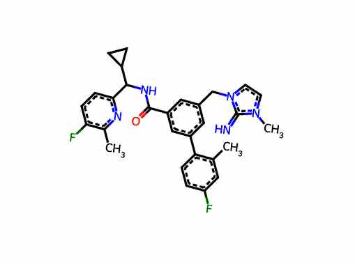 Cc1cc(F)ccc1-c1cc(Cn2ccn(C)c2=N)cc(C(=O)NC(c2ccc(F)c(C)n2)C2CC2)c1